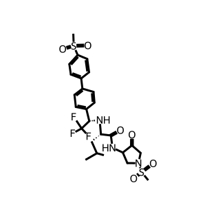 CC(C)C[C@H](N[C@@H](c1ccc(-c2ccc(S(C)(=O)=O)cc2)cc1)C(F)(F)F)C(=O)NC1CN(S(C)(=O)=O)CC1=O